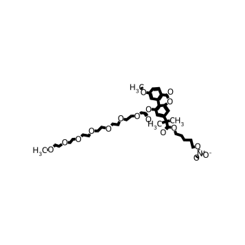 COCCOCCOCCOCCOCCOCCOCC(=O)Oc1cc(C(C)(C)C(=O)OCCCCCO[N+](=O)[O-])cc2oc(=O)c3ccc(OC)cc3c12